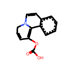 O=C(O)OC1=C2c3ccccc3C=CN2CC=C1